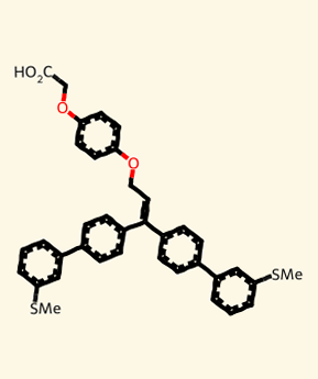 CSc1cccc(-c2ccc(C(=CCOc3ccc(OCC(=O)O)cc3)c3ccc(-c4cccc(SC)c4)cc3)cc2)c1